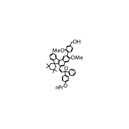 CCCOc1ccc(C2(c3ccccc3)C=Cc3c4c(c5cc(-c6ccc(CO)cc6OC)c(OC)cc5c3O2)-c2ccccc2C42CC(C)(C)CC(C)(C)C2)cc1